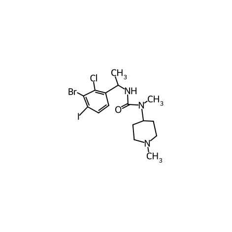 CC(NC(=O)N(C)C1CCN(C)CC1)c1ccc(I)c(Br)c1Cl